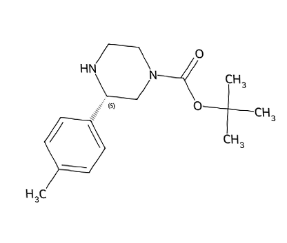 Cc1ccc([C@H]2CN(C(=O)OC(C)(C)C)CCN2)cc1